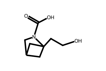 O=C(O)N1CC2CC1(CCO)C2